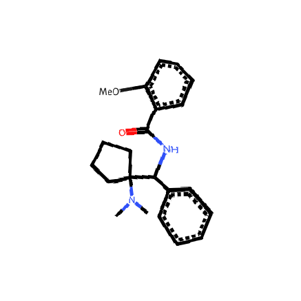 COc1ccccc1C(=O)NC(c1ccccc1)C1(N(C)C)CCCC1